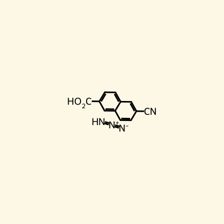 N#Cc1ccc2cc(C(=O)O)ccc2c1.[N-]=[N+]=N